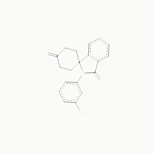 COc1cccc(N2C(=O)c3ccccc3C23CCC(=O)CC3)c1